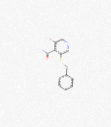 NC(=O)c1c(Br)cncc1SCc1ccccc1